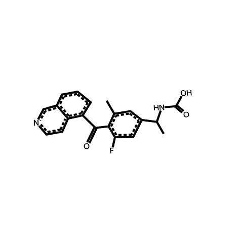 Cc1cc(C(C)NC(=O)O)cc(F)c1C(=O)c1cccc2cnccc12